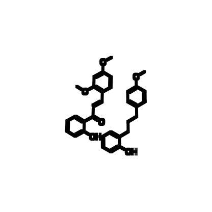 COc1ccc(C=CC(=O)c2ccccc2O)c(OC)c1.COc1ccc(CCCc2ccccc2O)cc1